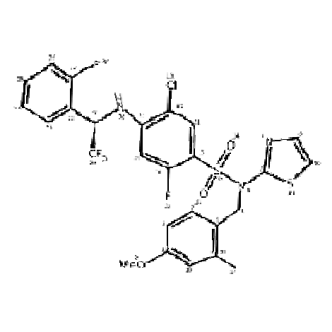 COc1ccc(CN(c2nccs2)S(=O)(=O)c2cc(Cl)c(N[C@H](c3ccccc3F)C(F)(F)F)cc2F)c(C)c1